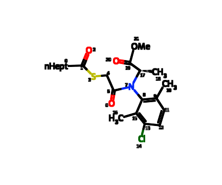 CCCCCCCC(=O)SCC(=O)N(c1c(C)ccc(Cl)c1C)[C@@H](C)C(=O)OC